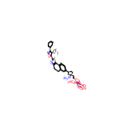 NC1(CCOP(=O)(O)O)CCC(c2ccc3c(c2)CCc2nc(-c4onc(-c5ccccc5)c4C(F)(F)F)sc2-3)C1